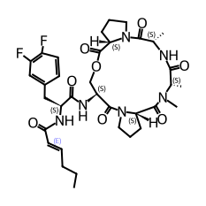 CCC/C=C/C(=O)N[C@@H](Cc1ccc(F)c(F)c1)C(=O)N[C@H]1COC(=O)[C@@H]2CCCN2C(=O)[C@H](C)NC(=O)[C@H](C)N(C)C(=O)[C@@H]2CCCN2C1=O